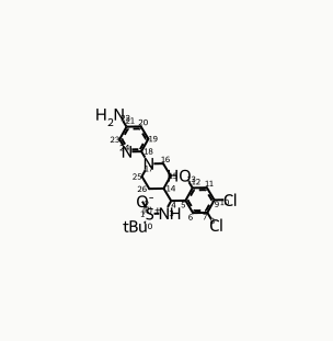 CC(C)(C)[S@+]([O-])NC(c1cc(Cl)c(Cl)cc1O)C1CCN(c2ccc(N)cn2)CC1